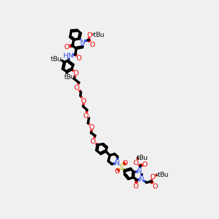 CC(C)(C)OC(=O)CN1CN(C(=O)OC(C)(C)C)c2cc(S(=O)(=O)N3CCC(c4ccc(OCCOCCOCCOCCOCCOc5cc(NC(=O)c6cn(C(=O)OC(C)(C)C)c7ccccc7c6=O)c(C(C)(C)C)cc5C(C)(C)C)cc4)CC3)ccc2C1=O